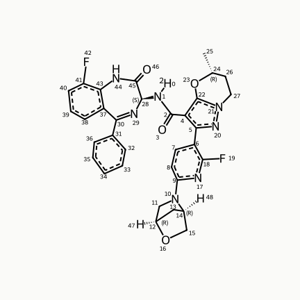 [2H]N(C(=O)c1c(-c2ccc(N3C[C@H]4C[C@@H]3CO4)nc2F)nn2c1O[C@H](C)CC2)[C@H]1N=C(c2ccccc2)c2cccc(F)c2NC1=O